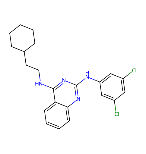 Clc1cc(Cl)cc(Nc2nc(NCCC3CCCCC3)c3ccccc3n2)c1